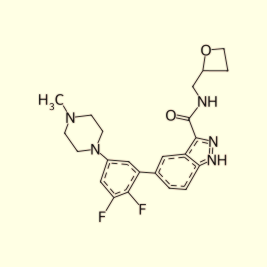 CN1CCN(c2cc(F)c(F)c(-c3ccc4[nH]nc(C(=O)NCC5CCO5)c4c3)c2)CC1